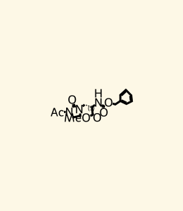 COC(=O)[C@H](CN1CCN(C(C)=O)C1=O)NC(=O)OCc1ccccc1